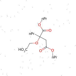 CCCOC(=O)CC(CCC)(OCC(=O)O)C(=O)OCCC